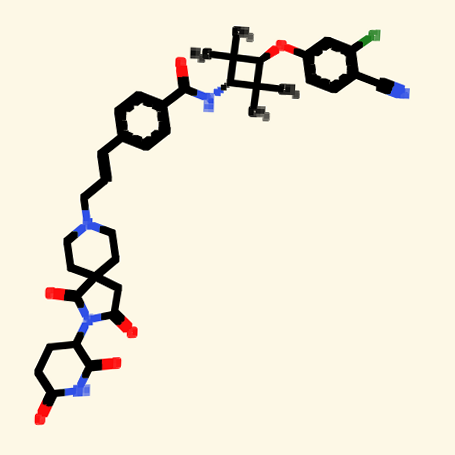 CC1(C)[C@H](NC(=O)c2ccc(/C=C/CN3CCC4(CC3)CC(=O)N(C3CCC(=O)NC3=O)C4=O)cc2)C(C)(C)[C@H]1Oc1ccc(C#N)c(Cl)c1